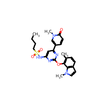 CCCCS(=O)(=O)Nc1cc(-c2ccc(=O)n(C)c2)nc(Oc2c(C)ccc3ccn(C)c23)n1